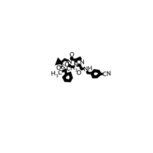 CC(C)(c1ccccc1)S(=O)(=O)C1(CN2CCn3c(cnc3C(=O)NCc3ccc(C#N)cc3)C2=O)CC1